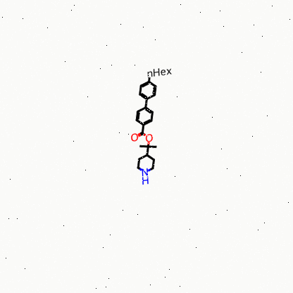 CCCCCCc1ccc(-c2ccc(C(=O)OC(C)(C)C3CCNCC3)cc2)cc1